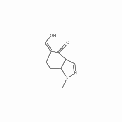 CN1N=CC2C(=O)C(=CO)CCC21